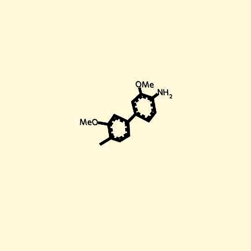 COc1cc(-c2ccc(N)c(OC)c2)ccc1C